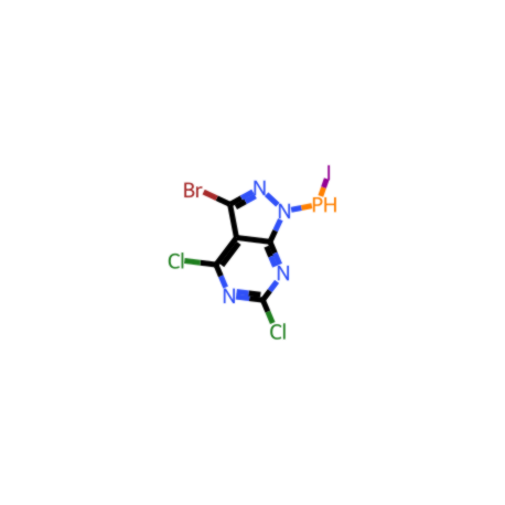 Clc1nc(Cl)c2c(Br)nn(PI)c2n1